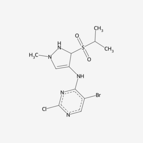 CC(C)S(=O)(=O)C1NN(C)C=C1Nc1nc(Cl)ncc1Br